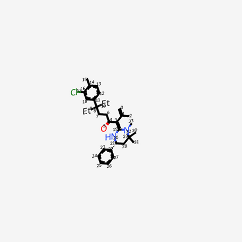 C=C(C)/C(C(=O)CCC(CC)(CC)c1ccc(C)c(Cl)c1)=C1/N[C@@H](c2ccccc2)CC(C)(C)N1C